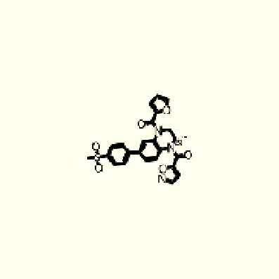 C[C@H]1CN(C(=O)c2ccco2)c2cc(-c3ccc(S(C)(=O)=O)cc3)ccc2N1C(=O)c1ccno1